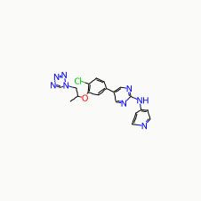 CC(Cn1cnnn1)Oc1cc(-c2cnc(Nc3ccncc3)nc2)ccc1Cl